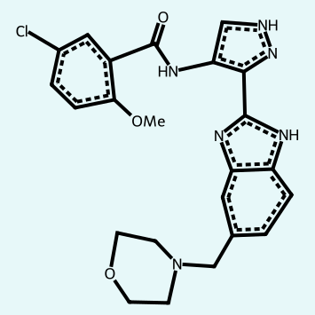 COc1ccc(Cl)cc1C(=O)Nc1c[nH]nc1-c1nc2cc(CN3CCOCC3)ccc2[nH]1